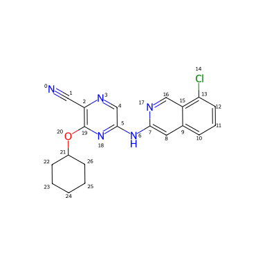 N#Cc1ncc(Nc2cc3cccc(Cl)c3cn2)nc1OC1CCCCC1